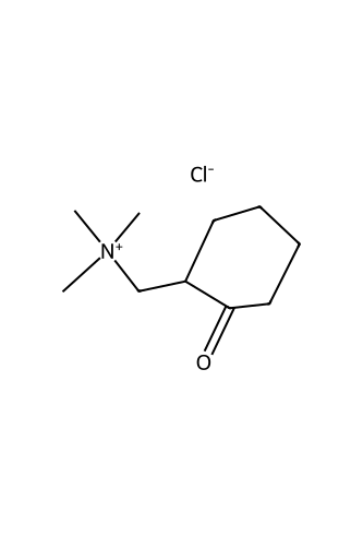 C[N+](C)(C)CC1CCCCC1=O.[Cl-]